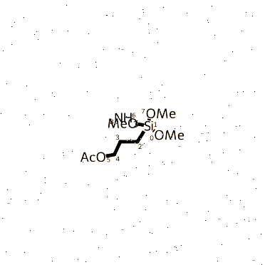 CO[Si](CCCOC(C)=O)(OC)OC.N